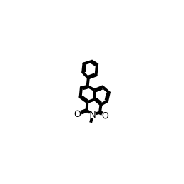 CN1C(=O)c2cccc3c(-c4ccccc4)ccc(c23)C1=O